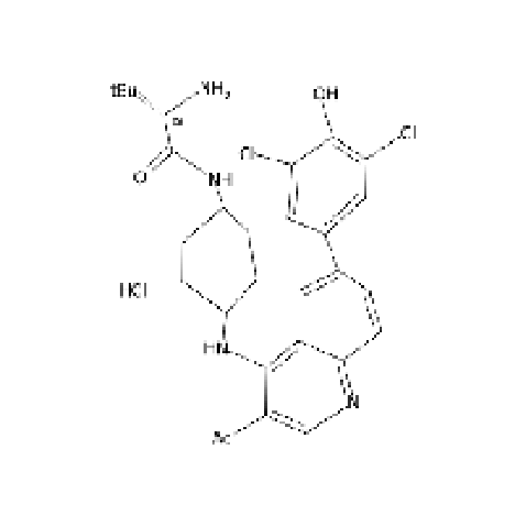 CC(=O)c1cnc2ccc(-c3cc(Cl)c(O)c(Cl)c3)cc2c1NC1CCC(NC(=O)[C@@H](N)C(C)(C)C)CC1.Cl